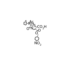 CC(=O)N(c1cccs1)C1C(=O)N2C=C(C(=O)OCc3ccc([N+](=O)[O-])cc3)C(C(=O)O)S[C@H]12